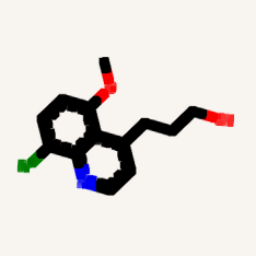 COc1ccc(Br)c2nccc(CCCO)c12